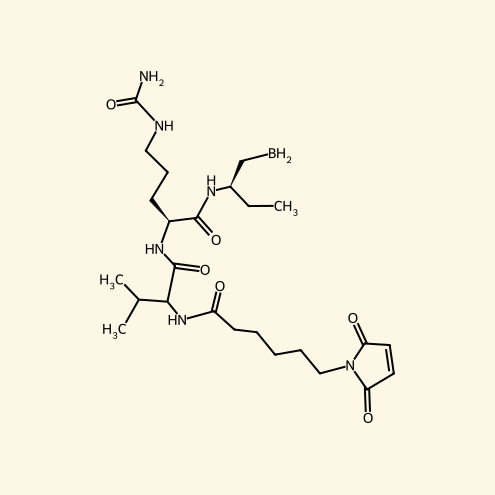 BC[C@@H](CC)NC(=O)[C@H](CCCNC(N)=O)NC(=O)C(NC(=O)CCCCCN1C(=O)C=CC1=O)C(C)C